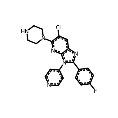 Fc1ccc(-c2nc3cc(Cl)c(N4CCNCC4)nc3n2-c2ccncc2)cc1